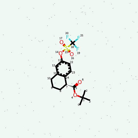 CC(C)(C)OC(=O)[C@@H]1CCCc2cc(OS(=O)(=O)C(F)(F)F)ccc21